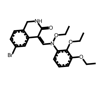 CCOc1cccc(N(C=C2C(=O)NCc3ccc(Br)cc32)OCC)c1OCC